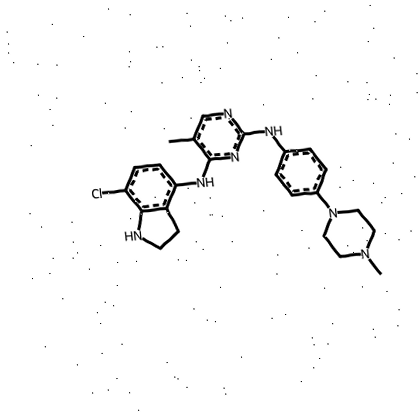 Cc1cnc(Nc2ccc(N3CCN(C)CC3)cc2)nc1Nc1ccc(Cl)c2c1CCN2